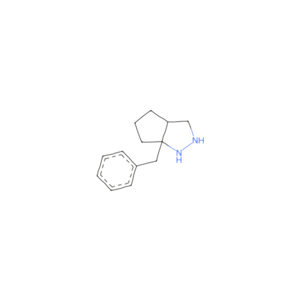 c1ccc(CC23CCCC2CNN3)cc1